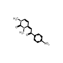 CN1C=CC(=CC(=O)c2ccc([N+](=O)[O-])cc2)N(C)C1=O